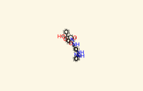 O=C(CN1C(=O)CCC(C(C(=O)O)C2CCCCC2)c2ccccc21)NCc1ccc(Nc2nc3ccccc3[nH]2)cc1